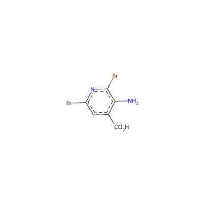 Nc1c(C(=O)O)cc(Br)nc1Br